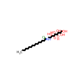 CCCCCCCCCCCCCCCC(Cl)NCCC(O)C(=O)[C@H](O)[C@@H](O)[C@H](O)[C@H](O)CO